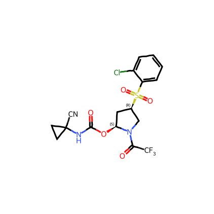 N#CC1(NC(=O)O[C@H]2C[C@@H](S(=O)(=O)c3ccccc3Cl)CN2C(=O)C(F)(F)F)CC1